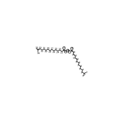 CC(C)CCCCCCCCCCCCC(=O)OOOC(=O)CCCCCCCCCCCCC(C)C